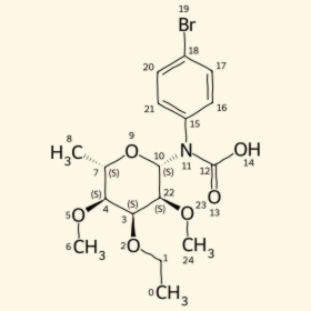 CCO[C@H]1[C@@H](OC)[C@H](C)O[C@H](N(C(=O)O)c2ccc(Br)cc2)[C@H]1OC